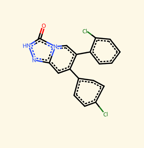 O=c1[nH]nc2cc(-c3ccc(Cl)cc3)c(-c3ccccc3Cl)cn12